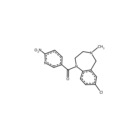 CN1CCN(C(=O)c2ccc([N+](=O)[O-])nc2)c2ccc(Cl)cc2C1